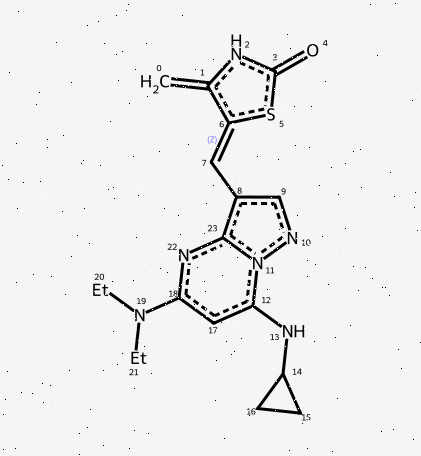 C=c1[nH]c(=O)s/c1=C\c1cnn2c(NC3CC3)cc(N(CC)CC)nc12